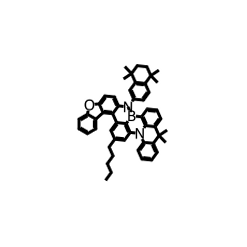 CCCCCc1cc2c3c(c1)N1c4ccccc4C(C)(C)c4cccc(c41)B3N(c1ccc3c(c1)C(C)(C)CCC3(C)C)c1ccc3oc4ccccc4c3c1-2